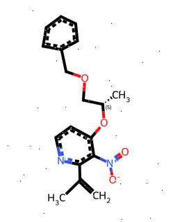 C=C(C)c1nccc(O[C@@H](C)COCc2ccccc2)c1[N+](=O)[O-]